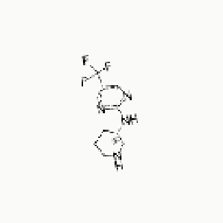 FC(F)(F)c1cnc(N[C@H]2CCCNC2)nc1